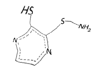 NSc1nccnc1S